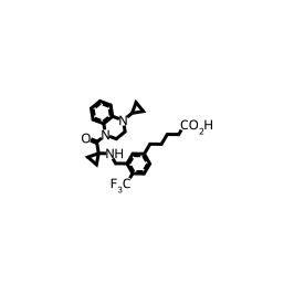 O=C(O)CCCCc1ccc(C(F)(F)F)c(CNC2(C(=O)N3CCN(C4CC4)c4ccccc43)CC2)c1